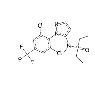 CCP(=O)(CC)N(C)c1ccnn1-c1c(Cl)cc(C(F)(F)F)cc1Cl